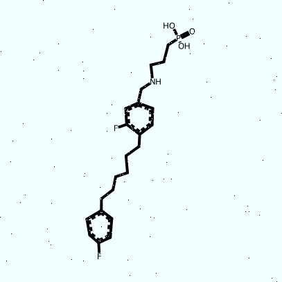 O=P(O)(O)CCCNCc1ccc(CCCCCCc2ccc(F)cc2)c(F)c1